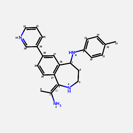 C/C(N)=C1/NCCC(Nc2ccc(C)cc2)c2cc(-c3cccnc3)ccc21